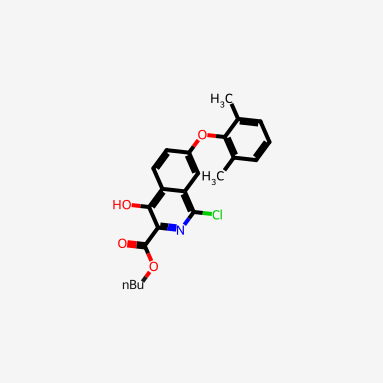 CCCCOC(=O)c1nc(Cl)c2cc(Oc3c(C)cccc3C)ccc2c1O